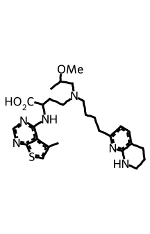 COC(C)CN(CCCCc1ccc2c(n1)NCCC2)CCC(Nc1ncnc2scc(C)c12)C(=O)O